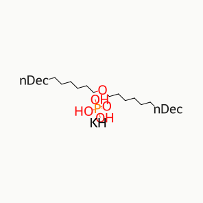 CCCCCCCCCCCCCCCCOCCCCCCCCCCCCCCCC.O=P(O)(O)O.[KH]